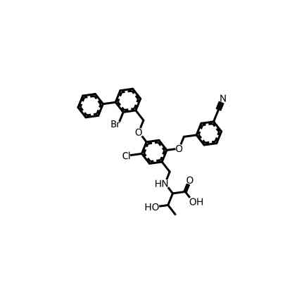 CC(O)C(NCc1cc(Cl)c(OCc2cccc(-c3ccccc3)c2Br)cc1OCc1cccc(C#N)c1)C(=O)O